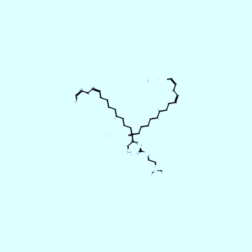 CCCCC/C=C\C/C=C\CCCCCCCCC(CCCCCCCC/C=C\C/C=C\CCCCC)(C(=O)O)C(CC(=O)O)NC(=O)OCCN(C)C